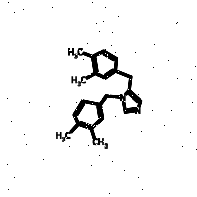 Cc1ccc(Cc2cncn2Cc2ccc(C)c(C)c2)cc1C